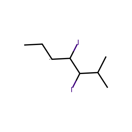 CC[CH]C(I)C(I)C(C)C